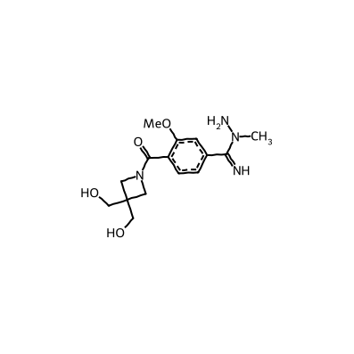 COc1cc(C(=N)N(C)N)ccc1C(=O)N1CC(CO)(CO)C1